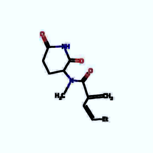 C=C(/C=C\CC)C(=O)N(C)C1CCC(=O)NC1=O